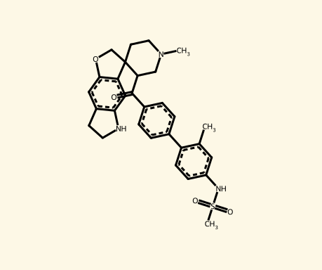 Cc1cc(NS(C)(=O)=O)ccc1-c1ccc(C(=O)C2CN(C)CCC23COc2cc4c(cc23)NCC4)cc1